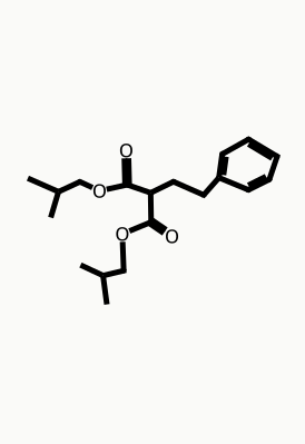 CC(C)COC(=O)C(CCc1ccccc1)C(=O)OCC(C)C